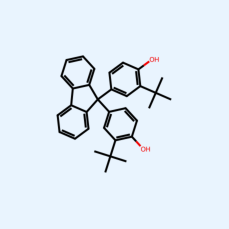 CC(C)(C)c1cc(C2(c3ccc(O)c(C(C)(C)C)c3)c3ccccc3-c3ccccc32)ccc1O